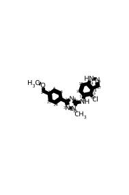 COCc1ccc(-c2nc(Nc3ccc4[nH]ncc4c3Cl)n(C)n2)cc1